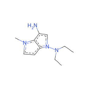 CCN(CC)n1cc(N)c2c1ccn2C